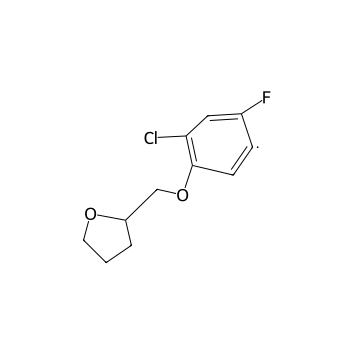 Fc1[c]cc(OCC2CCCO2)c(Cl)c1